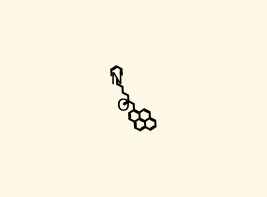 O=C(CCCCN1C=CC=CC1)Cc1ccc2ccc3cccc4ccc1c2c34